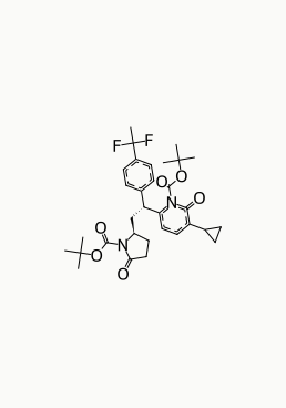 CC(C)(C)OC(=O)N1C(=O)CC[C@@H]1C[C@H](c1ccc(C(C)(F)F)cc1)c1ccc(C2CC2)c(=O)n1C(=O)OC(C)(C)C